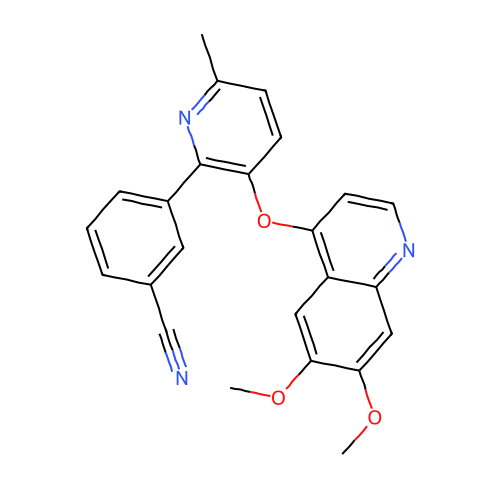 COc1cc2nccc(Oc3ccc(C)nc3-c3cccc(C#N)c3)c2cc1OC